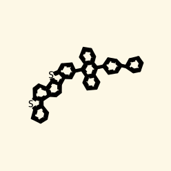 c1ccc(-c2ccc(-c3c4ccccc4c(-c4ccc5sc6c(ccc7c6ccc6sc8ccccc8c67)c5c4)c4ccccc34)cc2)cc1